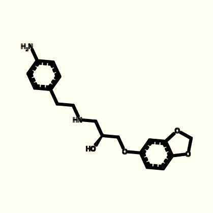 Nc1ccc(CCNC[C@H](O)COc2ccc3c(c2)OCO3)cc1